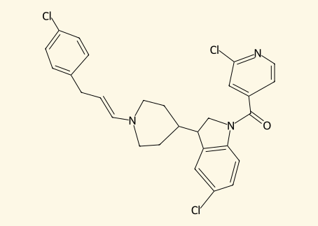 O=C(c1ccnc(Cl)c1)N1CC(C2CCN(/C=C/Cc3ccc(Cl)cc3)CC2)c2cc(Cl)ccc21